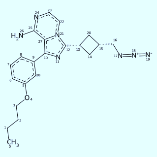 CCCCOc1cccc(-c2nc([C@H]3C[C@@H](CN=[N+]=[N-])C3)n3ccnc(N)c23)c1